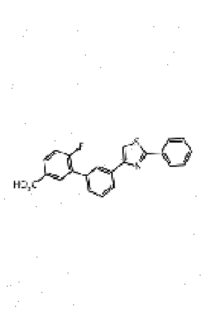 O=C(O)c1ccc(F)c(-c2cccc(-c3csc(-c4ccccc4)n3)c2)c1